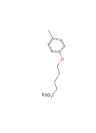 CCOC(=O)CCCCOc1ccc(C)cc1